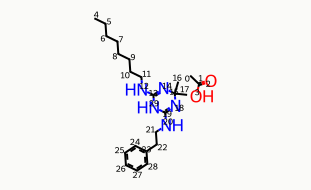 CC(=O)O.CCCCCCCCNC1=NC(C)(C)N=C(NCCc2ccccc2)N1